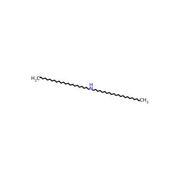 C=CCCCCCCCCCCCCCCCCCCCCCNCCCCCCCCCCCCCCCCCCCCCC